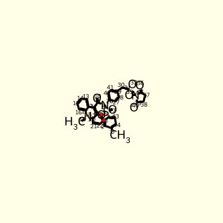 Cc1ccc(S(=O)(=O)N(C(=O)c2c3ccccc3[n+](C)c3ccccc23)c2ccc(CC(=O)ON3C(=O)CCC3=O)cc2)cc1